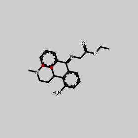 CCOC(=O)CN=C(c1ccccc1)c1cccc(N)c1C1CCN(C)CC1